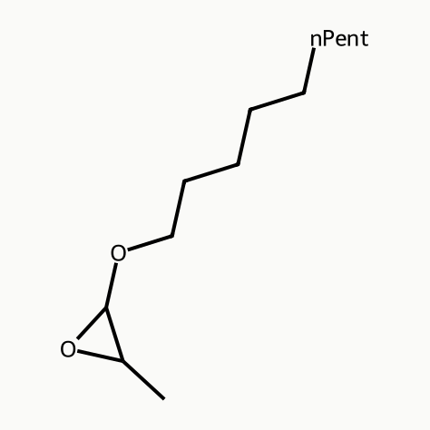 CCCCCCCCCCOC1OC1C